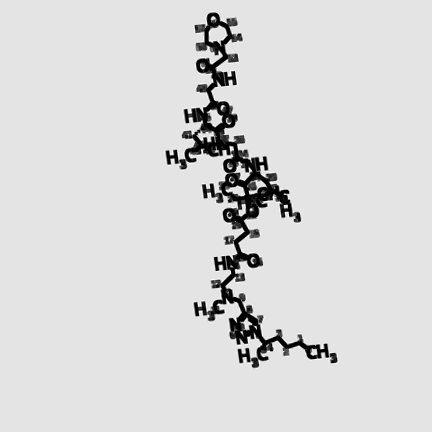 CCCCC(C)n1cc(CN(C)CCNC(=O)CCC(=O)O[C@](C)(CC)C(=O)[C@H](CC(C)C)NC(=O)CNC(=O)[C@H](CC(C)C)NC(=O)CNC(=O)CN2CCOCC2)nn1